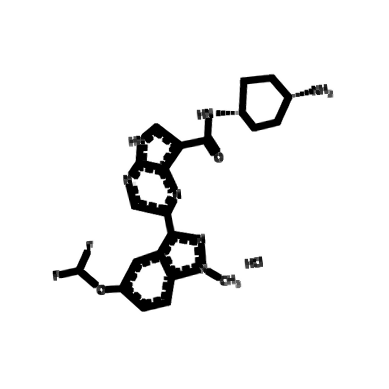 Cl.Cn1nc(-c2cnc3[nH]cc(C(=O)N[C@H]4CC[C@@H](N)CC4)c3n2)c2cc(OC(F)F)ccc21